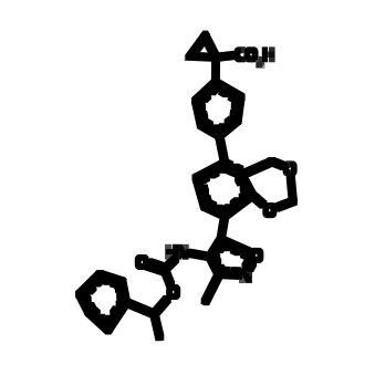 Cc1noc(-c2ccc(-c3ccc(C4(C(=O)O)CC4)cc3)c3c2OCOC3)c1NC(=O)OC(C)c1ccccc1